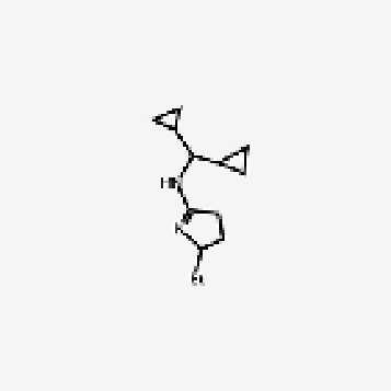 CCC1CCC(NC(C2CC2)C2CC2)=N1